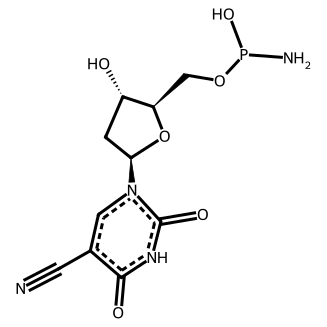 N#Cc1cn([C@H]2C[C@H](O)[C@@H](COP(N)O)O2)c(=O)[nH]c1=O